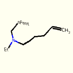 C=CCCCN(CC)CCCCCC